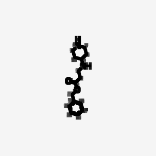 O=C(CCNC1CCNCC1)OCc1ccccc1